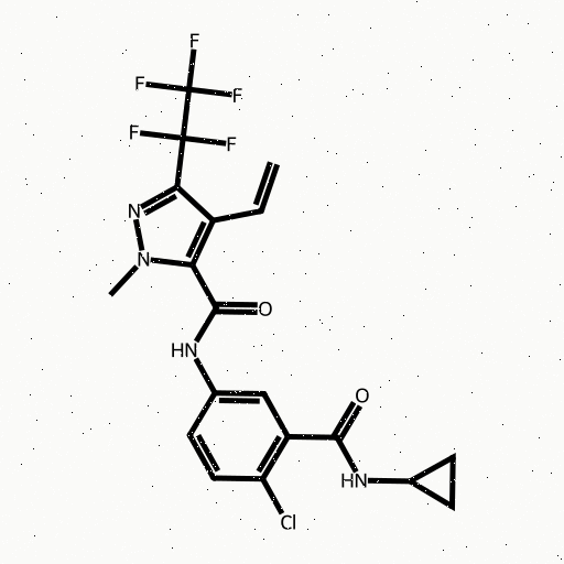 C=Cc1c(C(F)(F)C(F)(F)F)nn(C)c1C(=O)Nc1ccc(Cl)c(C(=O)NC2CC2)c1